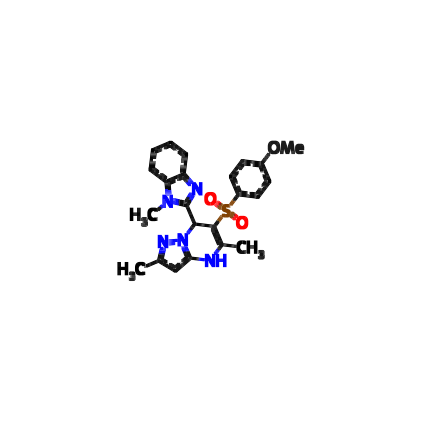 COc1ccc(S(=O)(=O)C2=C(C)Nc3cc(C)nn3C2c2nc3ccccc3n2C)cc1